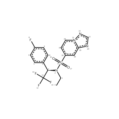 CCN([C@H](c1ccc(F)cc1)C(F)(F)F)S(=O)(=O)c1ccn2ncnc2c1